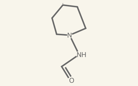 O=CNN1CC[CH]CC1